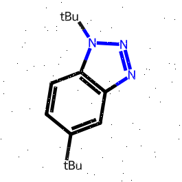 CC(C)(C)c1ccc2c(c1)nnn2C(C)(C)C